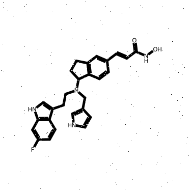 O=C(/C=C/c1ccc2c(c1)CCC2N(CCc1c[nH]c2cc(F)ccc12)Cc1cc[nH]c1)NO